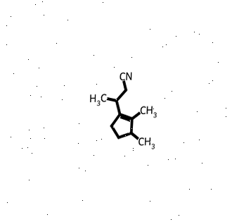 CC1=C(C(C)CC#N)CCC1C